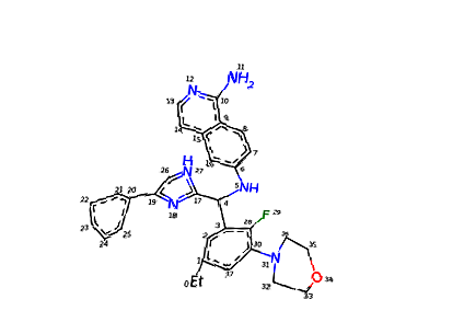 CCc1cc(C(Nc2ccc3c(N)nccc3c2)c2nc(-c3ccccc3)c[nH]2)c(F)c(N2CCOCC2)c1